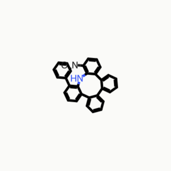 O=[N+]([O-])c1cccc2c1[nH]c1c(-c3ccccc3)cccc1c1ccccc1c1ccccc21